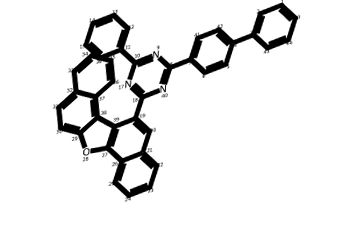 c1ccc(-c2ccc(-c3nc(-c4ccccc4)nc(-c4cc5ccccc5c5oc6ccc7ccccc7c6c45)n3)cc2)cc1